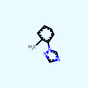 [CH2]c1ccccc1-n1cncn1